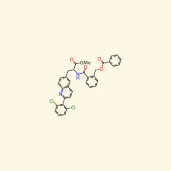 COC(=O)C(Cc1ccc2nc(-c3c(Cl)cccc3Cl)ccc2c1)NC(=O)c1ccccc1COC(=O)c1ccccc1